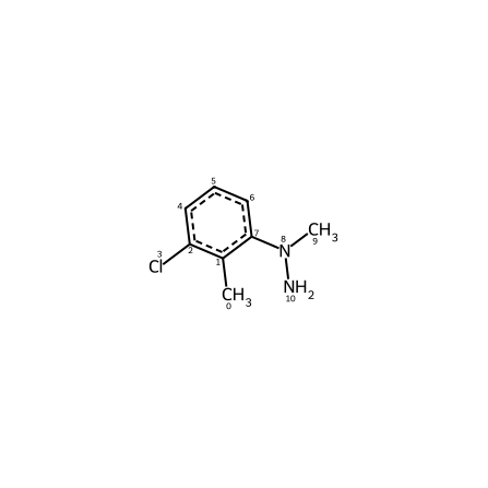 Cc1c(Cl)cccc1N(C)N